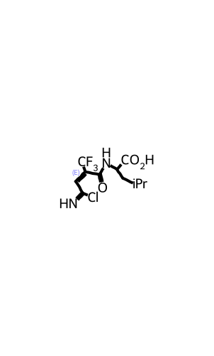 CC(C)CC(NC(=O)/C(=C\C(=N)Cl)C(F)(F)F)C(=O)O